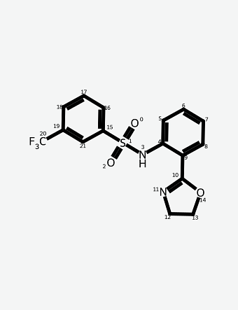 O=S(=O)(Nc1ccccc1C1=NCCO1)c1cccc(C(F)(F)F)c1